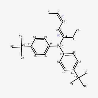 C/C=C\C=C(/CC)N(c1ccc(C(C)(C)C)cc1)c1ccc(C(C)(C)C)cc1